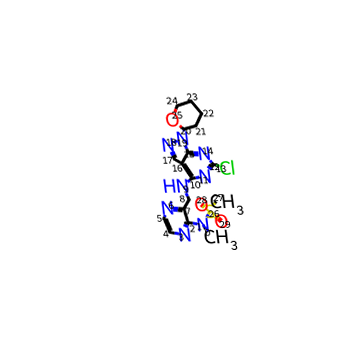 CN(c1nccnc1CNc1nc(Cl)nc2c1cnn2C1CCCCO1)S(C)(=O)=O